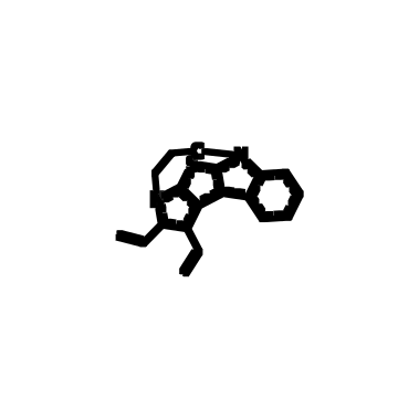 C=Cc1c(C=C)n2c3sc4c(c5ccccc5n4CCC2)c13